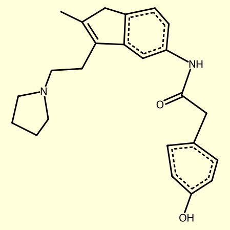 CC1=C(CCN2CCCC2)c2cc(NC(=O)Cc3ccc(O)cc3)ccc2C1